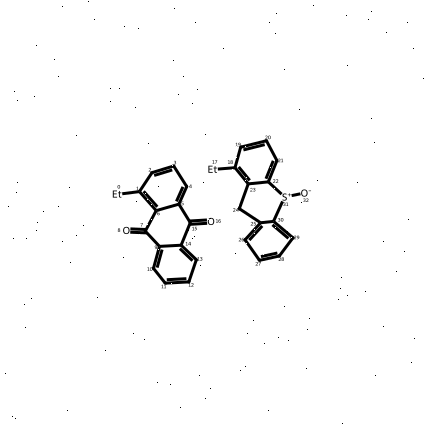 CCc1cccc2c1C(=O)c1ccccc1C2=O.CCc1cccc2c1Cc1ccccc1[S+]2[O-]